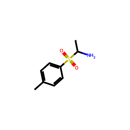 [CH2]C(N)S(=O)(=O)c1ccc(C)cc1